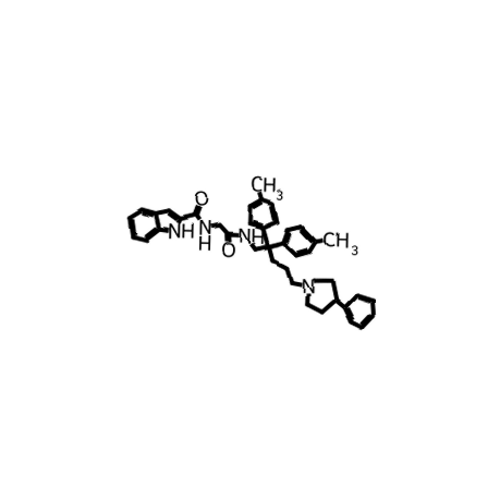 Cc1ccc(C(CCCN2CCC(c3ccccc3)CC2)(CNC(=O)CNC(=O)c2cc3ccccc3[nH]2)c2ccc(C)cc2)cc1